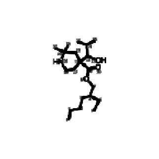 CCCCC(CC)COC(=O)C1(C(O)C(C)C)CCNC(C)(C)C1